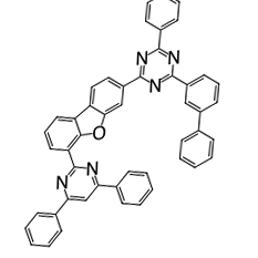 c1ccc(-c2cccc(-c3nc(-c4ccccc4)nc(-c4ccc5c(c4)oc4c(-c6nc(-c7ccccc7)cc(-c7ccccc7)n6)cccc45)n3)c2)cc1